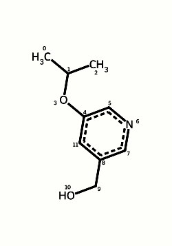 CC(C)Oc1cncc(CO)c1